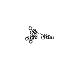 C[C@H](CC/C=C/C(=O)OC(C)(C)C)O[C@@H]1O[C@@H](C)[C@H](O[Si](c2ccccc2)(c2ccccc2)C(C)(C)C)C[C@H]1OC(=O)c1ccccc1